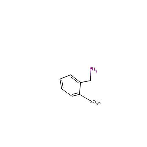 O=S(=O)(O)c1ccccc1CP